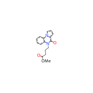 COC(=O)CCCn1c(=O)c2cccn2c2ccccc21